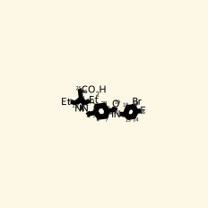 CCc1nn(Cc2ccc(C(=O)Nc3ccc(F)c(Br)c3)cc2)c(CC)c1CC(=O)O